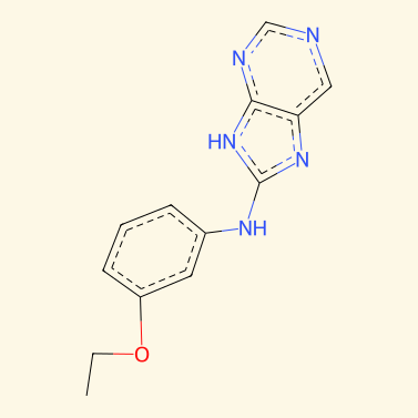 CCOc1cccc(Nc2nc3cncnc3[nH]2)c1